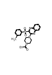 CCC(=O)N1CCN(c2nc3ccccc3nc2S(=O)(=O)c2cccc(C)c2)CC1